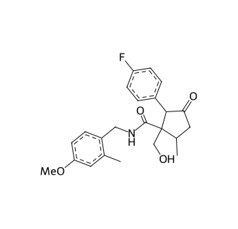 COc1ccc(CNC(=O)C2(CO)C(C)CC(=O)C2c2ccc(F)cc2)c(C)c1